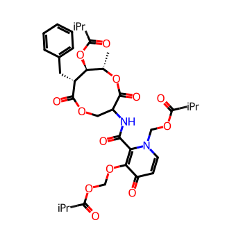 CC(C)C(=O)OCOc1c(C(=O)NC2COC(=O)[C@H](Cc3ccccc3)[C@@H](OC(=O)C(C)C)[C@H](C)OC2=O)n(COC(=O)C(C)C)ccc1=O